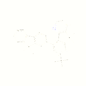 CC(C)(C)c1cc(-c2ccc3c(c2)C(C)(C)c2ccccc2-3)c2c(c1)C(C)(C)c1cccnc1-2